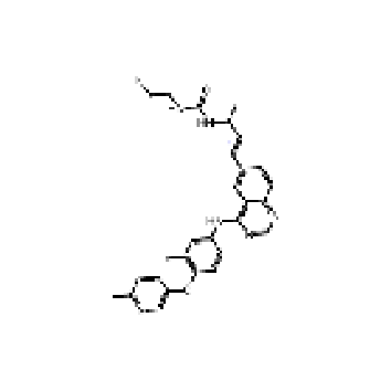 Cc1ccc(Oc2ccc(Nc3ncnc4ccc(/C=C/C(C)NC(=O)NCCF)cc34)cc2C)cn1